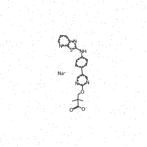 CC(C)(COc1ncc(-c2ccc(Nc3nc4cccnc4s3)cc2)cn1)C(=O)[O-].[Na+]